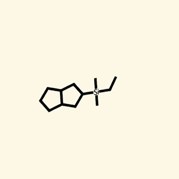 CC[Si](C)(C)C1CC2CCCC2C1